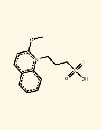 COc1ccc2ccccc2[n+]1CCCS(=O)(=O)O